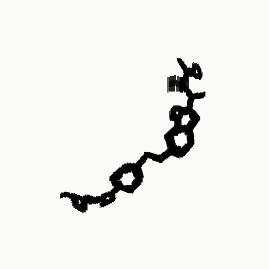 COCOc1ccc(CCc2ccc3cc(C(C)NC(C)=O)oc3c2)cc1